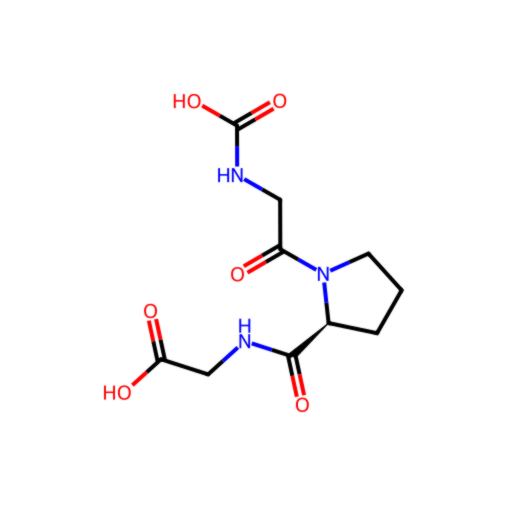 O=C(O)CNC(=O)[C@@H]1CCCN1C(=O)CNC(=O)O